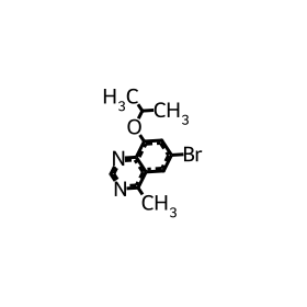 Cc1ncnc2c(OC(C)C)cc(Br)cc12